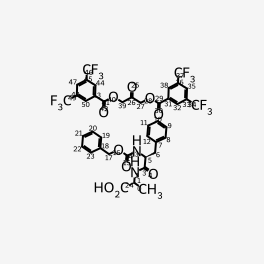 C[C@H](NC(=O)[C@H](Cc1ccccc1)NC(=O)OCc1ccccc1)C(=O)O.O=C(COC(=O)c1cc(C(F)(F)F)cc(C(F)(F)F)c1)COC(=O)c1cc(C(F)(F)F)cc(C(F)(F)F)c1